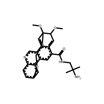 COC1C=c2c(C(=O)NCC(C)(C)N)cc3c4cnc5ccc(cc53)OCOC1(OC)C=c24